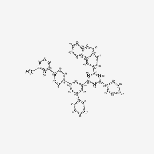 Cc1cccc(-c2ccc(-c3cc(-c4ccccc4)cc(-c4nc(-c5ccccc5)nc(-c5ccc6ccc7ccccc7c6c5)n4)c3)cc2)n1